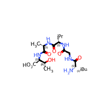 CC[C@H](C)[C@H](N)C(=O)NCC(=O)N[C@H](C(=O)N[C@@H](C)C(=O)N[C@H](C(=O)O)[C@@H](C)O)C(C)C